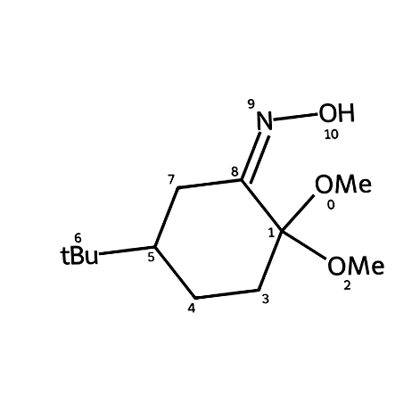 COC1(OC)CCC(C(C)(C)C)CC1=NO